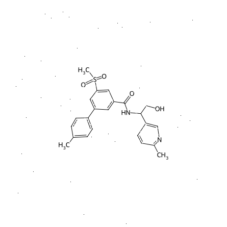 Cc1ccc(-c2cc(C(=O)NC(CO)c3ccc(C)nc3)cc(S(C)(=O)=O)c2)cc1